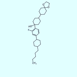 CCCCCC1CCC(c2ccc(C3(O)CCC(C4CCC5(CC4)OCCO5)CC3)c(F)c2)CC1